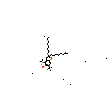 CCCCCCCCC1(CCCCCCCC)Cc2c(cc(C(C)(C)C)c(O)c2C(C)(C)C)S1